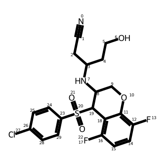 N#CCC(CCO)NC1COc2c(F)ccc(F)c2C1S(=O)(=O)c1ccc(Cl)cc1